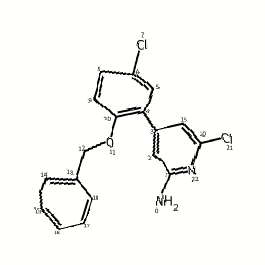 Nc1cc(-c2cc(Cl)ccc2OCc2ccccc2)cc(Cl)n1